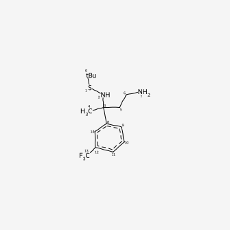 CC(C)(C)SNC(C)(CCN)c1cccc(C(F)(F)F)c1